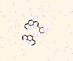 Nc1cc2cccnc2c2nc(C3CCC(=O)NC3=O)ccc12.Nc1cc2cccnc2c2ncccc12